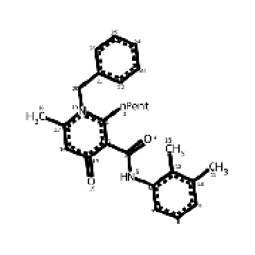 CCCCCc1c(C(=O)Nc2cccc(C)c2C)c(=O)cc(C)n1Cc1ccccc1